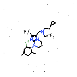 CC1=CC(Cl)=C(N2CCCn3c2nc(C(F)(F)F)c3CN(CCC2CC2)CC(F)(F)F)C(C)C1